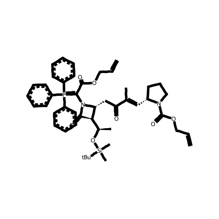 C=CCOC(=O)C(N1C(=O)[C@H]([C@@H](C)O[Si](C)(C)C(C)(C)C)[C@H]1CC(=O)/C(C)=C/[C@@H]1CCCN1C(=O)OCC=C)=P(c1ccccc1)(c1ccccc1)c1ccccc1